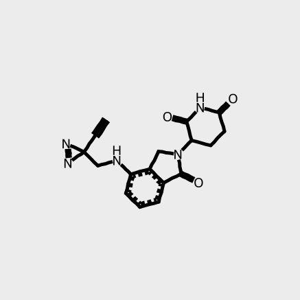 C#CC1(CNc2cccc3c2CN(C2CCC(=O)NC2=O)C3=O)N=N1